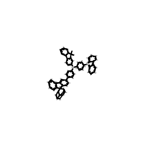 CC1(C)c2ccccc2-c2ccc(N(c3ccc(-c4ccc5c(c4)-c4ccccc4C54C5CC6CC(C5)CC4C6)cc3)c3ccc(-n4c5ccccc5c5ccccc54)cc3)cc21